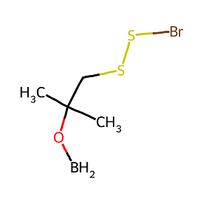 BOC(C)(C)CSSBr